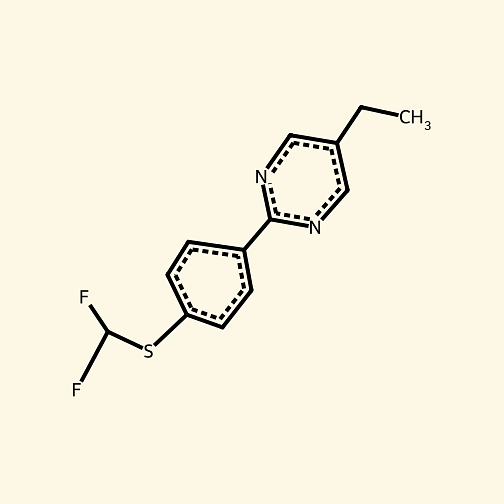 CCc1cnc(-c2ccc(SC(F)F)cc2)nc1